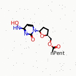 CCCCCC(=O)OC[C@@H]1CC[C@H](n2ccc(NO)nc2=O)O1